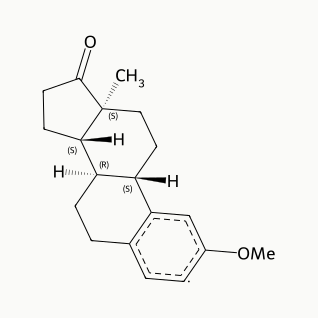 COc1[c]cc2c(c1)[C@H]1CC[C@]3(C)C(=O)CC[C@H]3[C@@H]1CC2